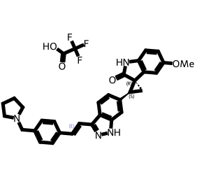 COc1ccc2c(c1)[C@]1(C[C@H]1c1ccc3c(/C=C/c4ccc(CN5CCCC5)cc4)n[nH]c3c1)C(=O)N2.O=C(O)C(F)(F)F